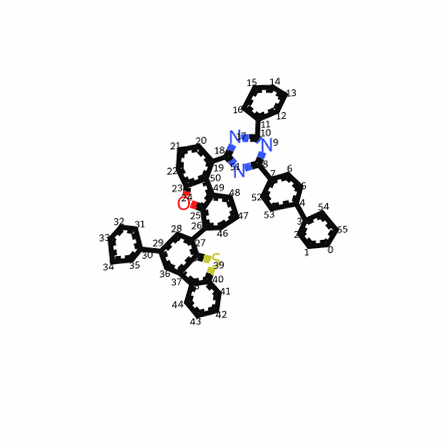 c1ccc(-c2ccc(-c3nc(-c4ccccc4)nc(-c4cccc5oc6c(-c7cc(-c8ccccc8)cc8c7sc7ccccc78)cccc6c45)n3)cc2)cc1